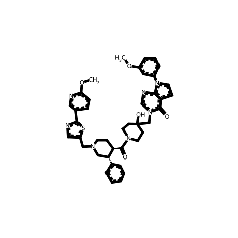 COc1cccc(-n2ccc3c(=O)n(CC4(O)CCN(C(=O)[C@@H]5CCN(Cc6cnc(-c7ccc(OC)nc7)s6)C[C@H]5c5ccccc5)CC4)cnc32)c1